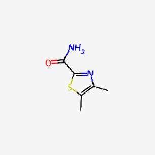 Cc1nc(C(N)=O)sc1C